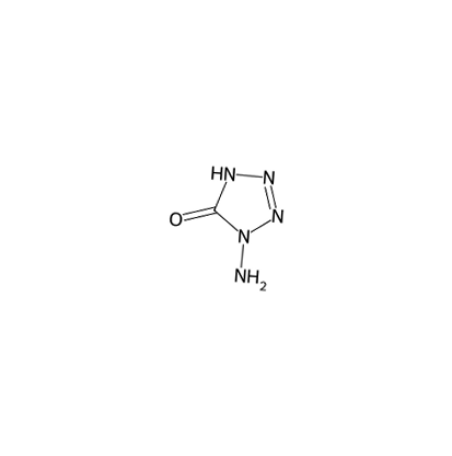 Nn1nn[nH]c1=O